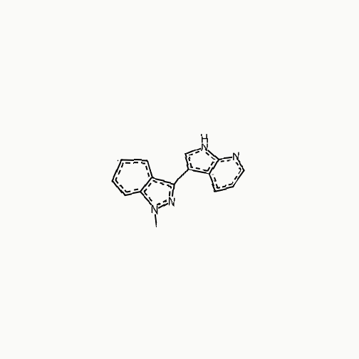 Cn1nc(-c2c[nH]c3ncccc23)c2c[c]ccc21